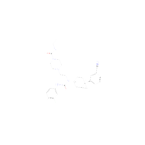 CCNC(=O)N1CCN(CCN(C(=O)Nc2ccc(F)c(Cl)c2)[C@@H]2CC[C@]3(c4cccc(C#N)c4)CC3C2)CC1